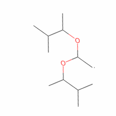 [CH2]C(OC(C)C(C)C)OC(C)C(C)C